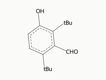 CC(C)(C)c1ccc(O)c(C(C)(C)C)c1C=O